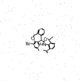 Cc1cc(Br)c2c(c1)C(C(=O)Nc1c(C(C)C)cccc1C(C)C)c1ccccc1CO2